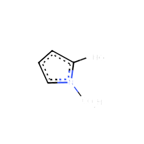 O=Cc1cccn1C(=O)O